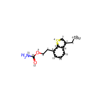 CC(C)(C)Cc1csc2c(CCOC(N)=O)cccc12